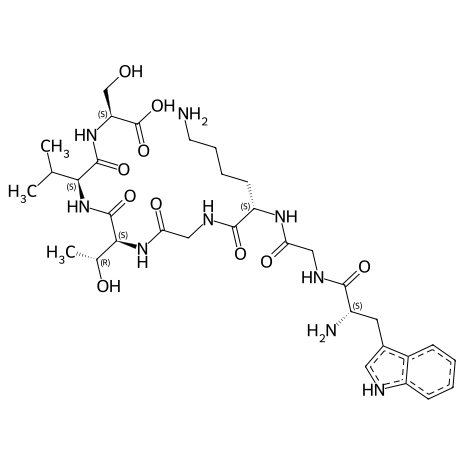 CC(C)[C@H](NC(=O)[C@@H](NC(=O)CNC(=O)[C@H](CCCCN)NC(=O)CNC(=O)[C@@H](N)Cc1c[nH]c2ccccc12)[C@@H](C)O)C(=O)N[C@@H](CO)C(=O)O